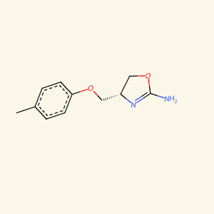 Cc1ccc(OC[C@@H]2COC(N)=N2)cc1